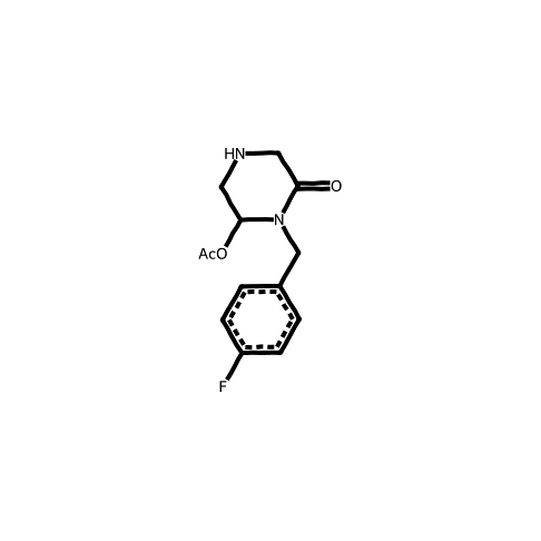 CC(=O)OC1CNCC(=O)N1Cc1ccc(F)cc1